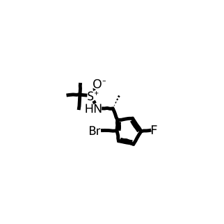 C[C@@H](N[S@+]([O-])C(C)(C)C)c1cc(F)ccc1Br